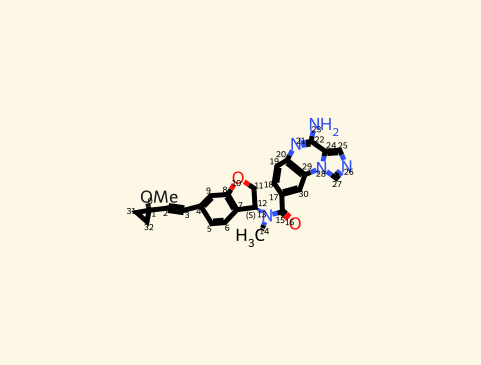 COC1(C#Cc2ccc3c(c2)OC[C@H]3N(C)C(=O)c2ccc3nc(N)c4cncn4c3c2)CC1